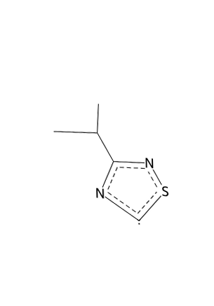 CC(C)c1n[c]sn1